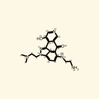 CN(C)CCn1nc2c3c(c(NCCN)ccc31)C(=O)c1cncc(O)c1-2